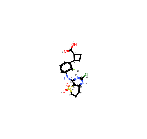 O=C(O)C1CCC1c1cccc(Nc2nc(Cl)nc3c2S(=O)(=O)CCC3)c1F